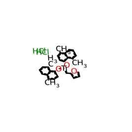 Cc1ccc([O][Ti](=[CH]c2ccco2)[O]c2ccc(C)c3cccc(C)c23)c2c(C)cccc12.Cl.Cl